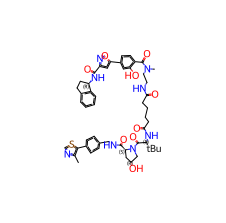 Cc1ncsc1-c1ccc(CNC(=O)[C@@H]2C[C@@H](O)CN2C(=O)[C@@H](NC(=O)CCCCC(=O)NCCN(C)C(=O)c2ccc(-c3cc(C(=O)N[C@@H]4CCc5ccccc54)no3)cc2O)C(C)(C)C)cc1